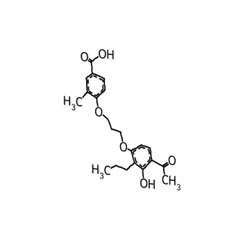 CCCc1c(OCCCOc2ccc(C(=O)O)cc2C)ccc(C(C)=O)c1O